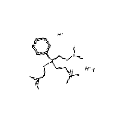 C[SiH](C)CC[Si](CC[SiH](C)C)(CC[SiH](C)C)c1ccccc1.[H+].[H+].[H+]